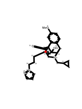 COc1ccc2c(c1)C13CCN(CC4CC4)C(C2)C1(O)CCN(CCCn1cccn1)C(=O)C3